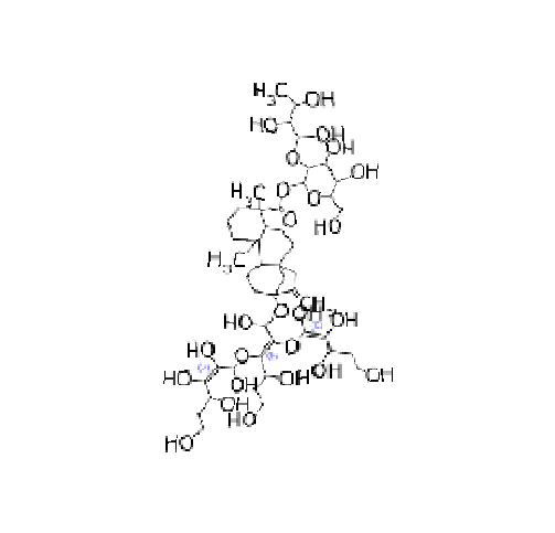 C=C1CC23CCC4C(C)(C(=O)OC5OC(CO)C(O)C(O)C5OC(O)C(O)C(C)O)CCCC4(C)C2CCC1(OC(O)/C(O/C(O)=C(/O)C(O)CCO)=C(\OC(O)/C(O)=C(/O)C(O)CCO)C(O)CCO)C3